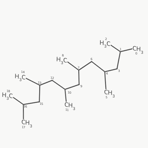 CC(C)CC(C)CC(C)CC(C)CC(C)CC(C)C